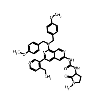 CCc1ccncc1-c1cc2cc(NC(=O)NC3CCN(C)C3=O)ncc2c(N(Cc2ccc(OC)cc2)Cc2ccc(OC)cc2)n1